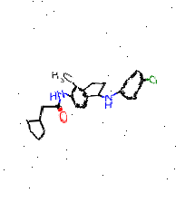 Cc1c(NC(=O)CC2CCCC2)ccc2c1CCC2Nc1ccc(Cl)cc1